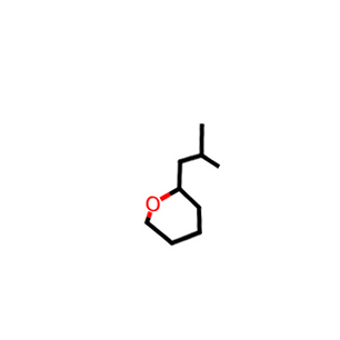 CC(C)CC1CCCCO1